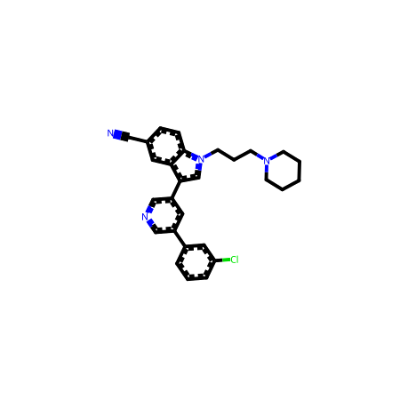 N#Cc1ccc2c(c1)c(-c1cncc(-c3cccc(Cl)c3)c1)cn2CCCN1CCCCC1